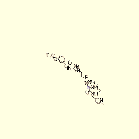 Cc1ccc(CNC(=O)/C(N)=C/N(N)CC(F)CCn2cc(NC(=O)Cc3cccc(OC(F)(F)F)c3)nn2)cn1